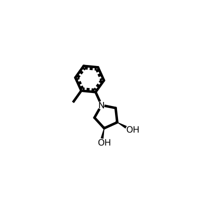 Cc1ccccc1N1C[C@@H](O)[C@@H](O)C1